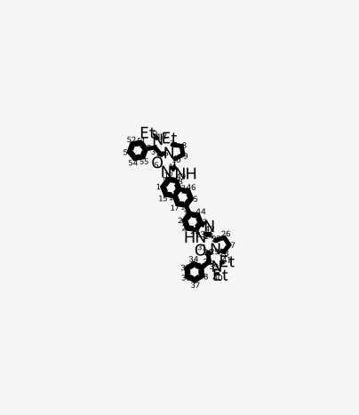 CCN(CC)[C@@H](C(=O)N1CCC[C@@H]1c1nc2ccc3cc(-c4ccc5[nH]c([C@@H]6CCCN6C(=O)[C@@H](c6ccccc6)N(CC)CC)nc5c4)ccc3c2[nH]1)c1ccccc1